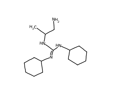 CC(CN)N/C(=N\C1CCCCC1)NC1CCCCC1